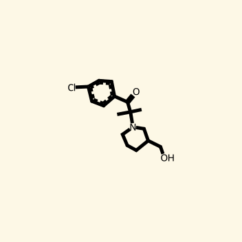 CC(C)(C(=O)c1ccc(Cl)cc1)N1CCCC(CO)C1